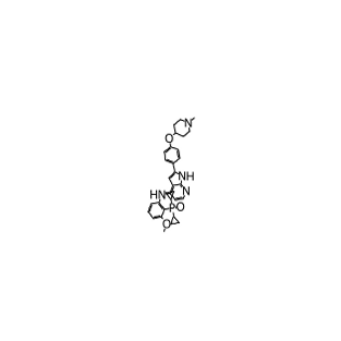 COc1cccc(Nc2ccnc3[nH]c(-c4ccc(OC5CCN(C)CC5)cc4)cc23)c1P(=O)(C1CC1)C1CC1